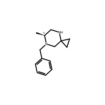 C[C@H]1CNC2(CC2)CN1Cc1ccccc1